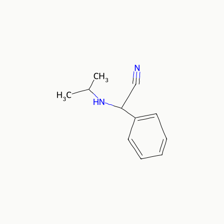 CC(C)NC(C#N)c1ccccc1